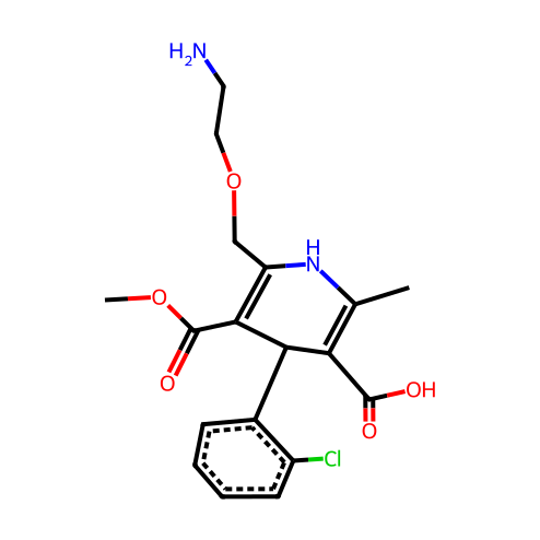 COC(=O)C1=C(COCCN)NC(C)=C(C(=O)O)C1c1ccccc1Cl